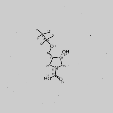 CC(C)(C)[Si](C)(C)OC[C@@H]1CN(C(=O)O)C[C@H]1O